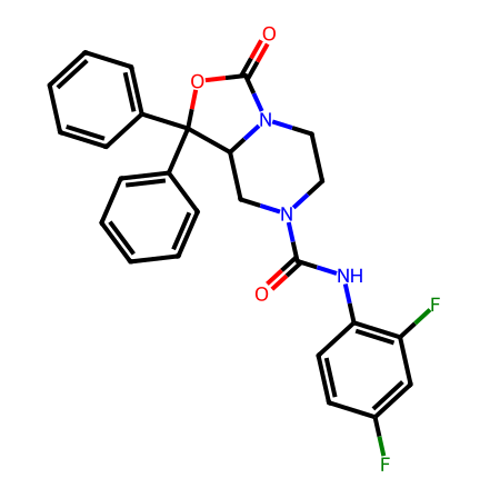 O=C(Nc1ccc(F)cc1F)N1CCN2C(=O)OC(c3ccccc3)(c3ccccc3)C2C1